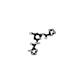 O=C(Nc1cc(Cl)cc(NC(=O)c2nnn[nH]2)n1)c1nnn[nH]1